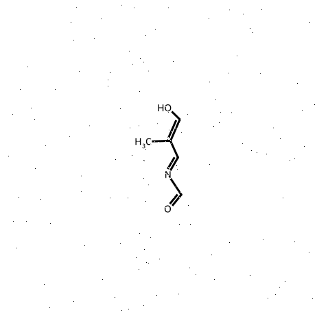 C/C(C=NC=O)=C\O